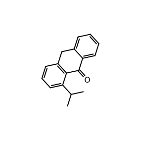 CC(C)c1cccc2c1C(=O)c1ccccc1C2